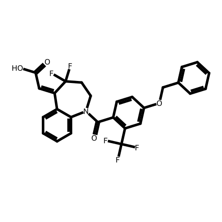 O=C(O)C=C1c2ccccc2N(C(=O)c2ccc(OCc3ccccc3)cc2C(F)(F)F)CCC1(F)F